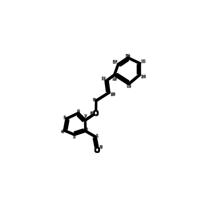 O=Cc1ccccc1OCC=Cc1ccccc1